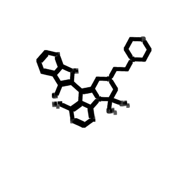 CC1(C)CN(CCN2CCOCC2)Cc2c(-c3[nH]c4ncccc4c3Cl)c3c(N)ncnc3n21